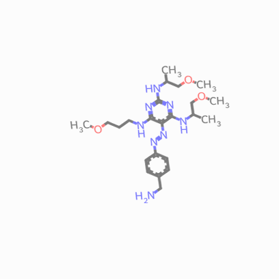 COCCCNc1nc(NC(C)COC)nc(NC(C)COC)c1N=Nc1ccc(CN)cc1